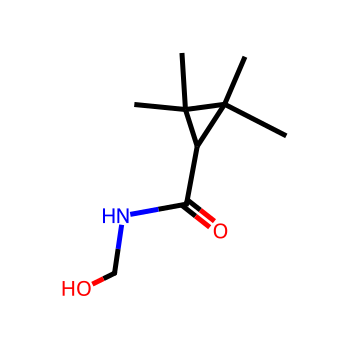 CC1(C)C(C(=O)NCO)C1(C)C